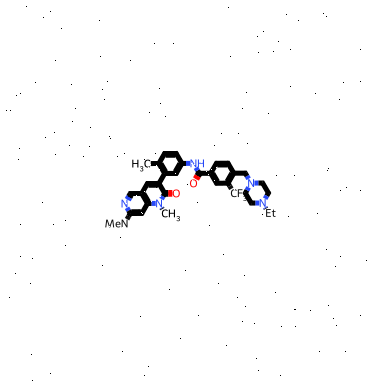 CCN1CCN(Cc2ccc(C(=O)Nc3ccc(C)c(-c4cc5cnc(NC)cc5n(C)c4=O)c3)cc2C(F)(F)F)CC1